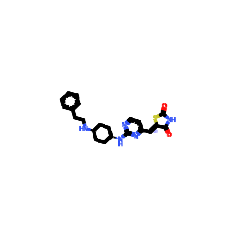 O=C1NC(=O)/C(=C/c2ccnc(N[C@H]3CC[C@H](NCCc4ccccc4)CC3)n2)S1